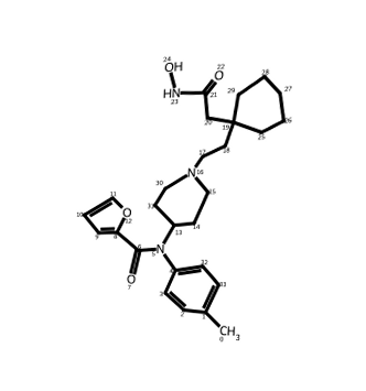 Cc1ccc(N(C(=O)c2ccco2)C2CCN(CCC3(CC(=O)NO)CCCCC3)CC2)cc1